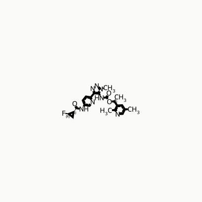 Cc1cnc(C)c([C@@H](C)OC(=O)Nc2c(-c3ccc(NC(=O)[C@@H]4C[C@H]4F)cn3)nnn2C)c1